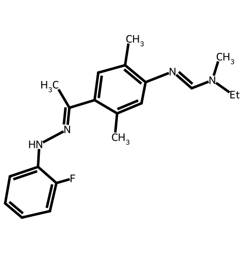 CCN(C)C=Nc1cc(C)c(C(C)=NNc2ccccc2F)cc1C